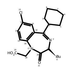 CC[C@H](C)C1N=C(C2CCCCC2)c2cc(Cl)ccc2N(CC(=O)O)C1=O